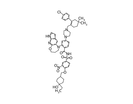 CCC1(O)CCC(COc2ccc(S(=O)(=O)NC(=O)c3ccc(N4CCN(CC5=C(c6ccc(Cl)cc6)CC(C)(C)CC5)CC4)cc3N3CCCOc4nc5[nH]ccc5cc43)cc2[N+](=O)[O-])CC1